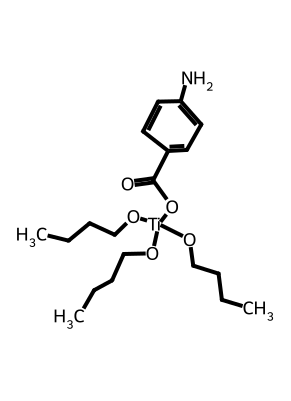 CCCC[O][Ti]([O]CCCC)([O]CCCC)[O]C(=O)c1ccc(N)cc1